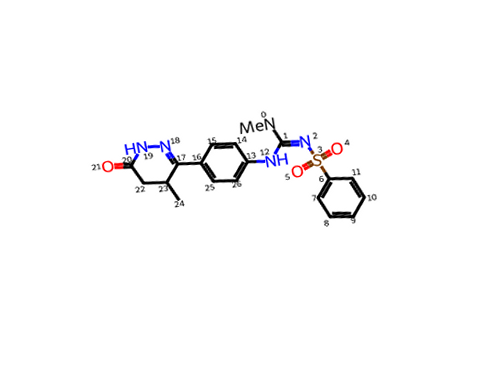 CNC(=NS(=O)(=O)c1ccccc1)Nc1ccc(C2=NNC(=O)CC2C)cc1